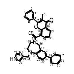 Cc1c(-c2ccccc2)oc2c(C(=O)N3CCN(Cc4c[nH]cn4)c4ccc(-c5ccccc5)cc4C3)cccc2c1=O